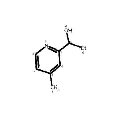 CCC(O)c1cc(C)ccn1